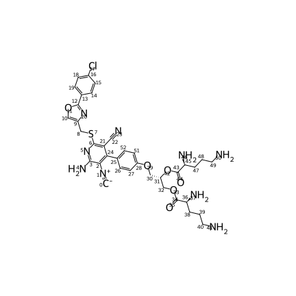 [C-]#[N+]c1c(N)nc(SCc2coc(-c3ccc(Cl)cc3)n2)c(C#N)c1-c1ccc(OC[C@@H](COC(=O)[C@@H](N)CCCN)OC(=O)[C@@H](N)CCCN)cc1